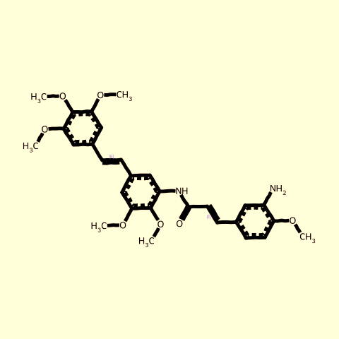 COc1ccc(/C=C/C(=O)Nc2cc(/C=C/c3cc(OC)c(OC)c(OC)c3)cc(OC)c2OC)cc1N